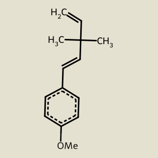 C=CC(C)(C)C=Cc1ccc(OC)cc1